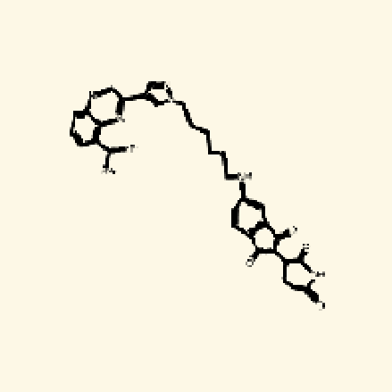 CCCC(CCC)c1cccc2ncc(-c3cnn(CCCCCCNc4ccc5c(c4)C(=O)C(C4CCC(=O)NC4=O)C5=O)c3)nc12